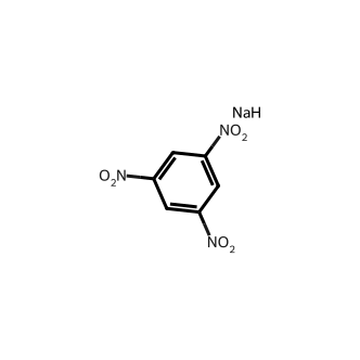 O=[N+]([O-])c1cc([N+](=O)[O-])cc([N+](=O)[O-])c1.[NaH]